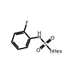 CCCCCCS(=O)(=O)Nc1ccccc1F